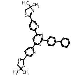 CC1(C)COC(c2ccc(-c3cc(-c4ccc(C5=NC(C)(C)CO5)cn4)nc(-c4ccc(-c5ccccc5)cc4)n3)nc2)=N1